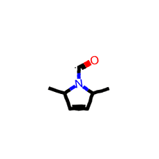 CC1C=CC(C)N1[C]=O